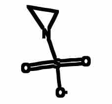 [O]S(=O)(=O)N1CC1